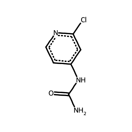 NC(=O)Nc1ccnc(Cl)c1